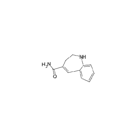 NC(=O)C1=Cc2ccccc2NCC1